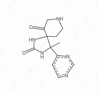 CC1(c2ccn[c]n2)NC(=O)NC12CCNCC2=O